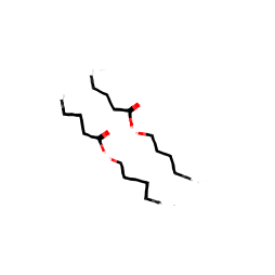 CCCCCCCCCCCCCCOC(=O)CCCCCCCCCCCCC.CCCCCCCCCCCCCCOC(=O)CCCCCCCCCCCCC